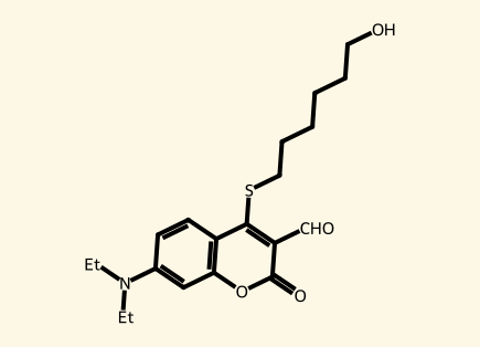 CCN(CC)c1ccc2c(SCCCCCCO)c(C=O)c(=O)oc2c1